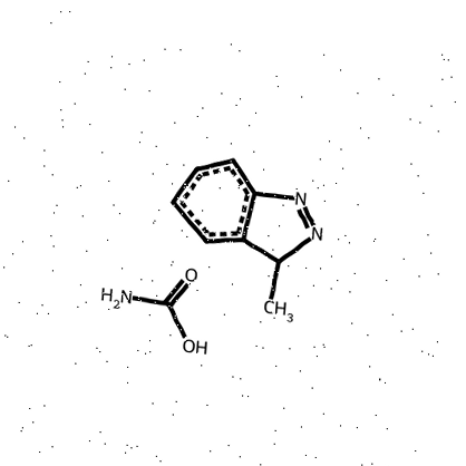 CC1N=Nc2ccccc21.NC(=O)O